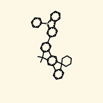 CC1(C)c2ccc(-c3ccc4c5ccccc5n(-c5ccccc5)c4c3)cc2-c2cc3c(cc21)-c1ccccc1C31CCCCC1